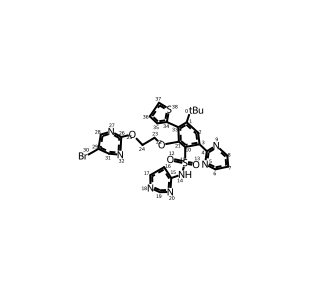 CC(C)(C)c1cc(-c2ncccn2)c(S(=O)(=O)Nc2ccncn2)c(OCCOc2ncc(Br)cn2)c1-c1cccs1